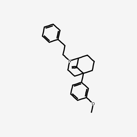 C=C1C2CCCC1(c1cccc(OC)c1)CCN2CCc1ccccc1